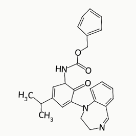 CC(C)C1=CC(NC(=O)OCc2ccccc2)C(=O)C(N2CCN=Cc3ccccc32)=C1